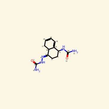 NC(=O)NN=C1CCC(NC(N)=O)C2=CC=CCC21